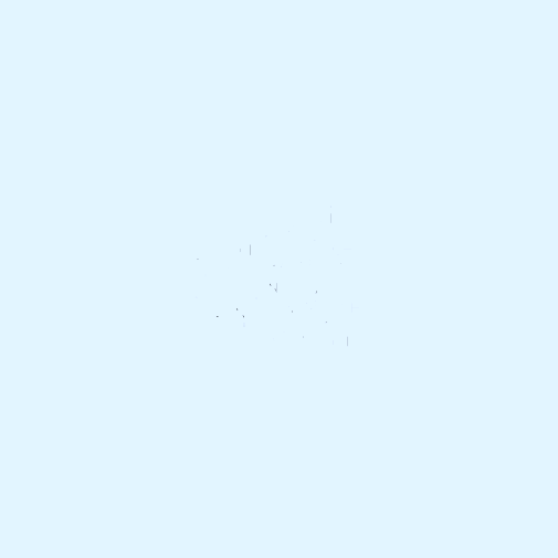 CC(C)(C)OC(=O)N(C(=O)OC(C)(C)C)c1nccc(I)c1Cl